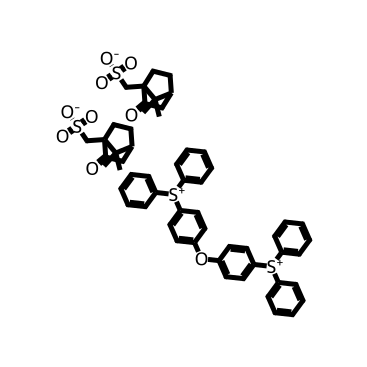 CC1(C)C2CCC1(CS(=O)(=O)[O-])C(=O)C2.CC1(C)C2CCC1(CS(=O)(=O)[O-])C(=O)C2.c1ccc([S+](c2ccccc2)c2ccc(Oc3ccc([S+](c4ccccc4)c4ccccc4)cc3)cc2)cc1